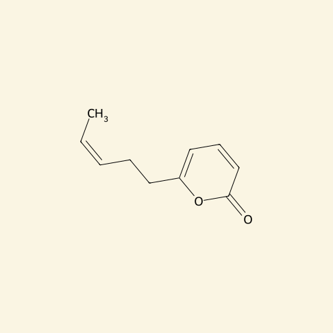 C/C=C\CCc1cccc(=O)o1